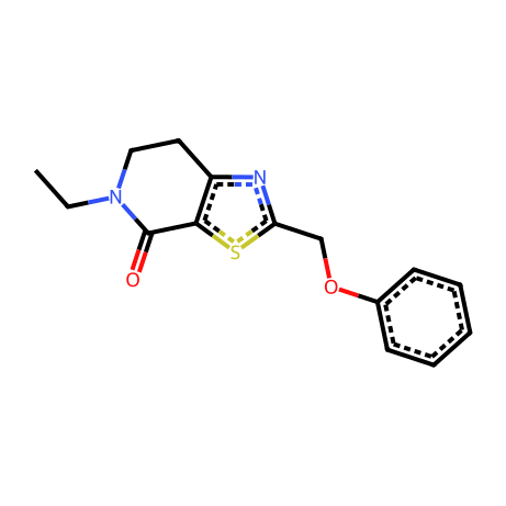 CCN1CCc2nc(COc3ccccc3)sc2C1=O